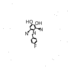 N#Cc1cc(O)c(O)c(C#N)c1N=Cc1ccc(F)cc1